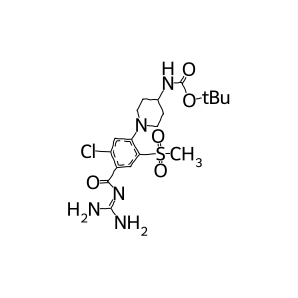 CC(C)(C)OC(=O)NC1CCN(c2cc(Cl)c(C(=O)N=C(N)N)cc2S(C)(=O)=O)CC1